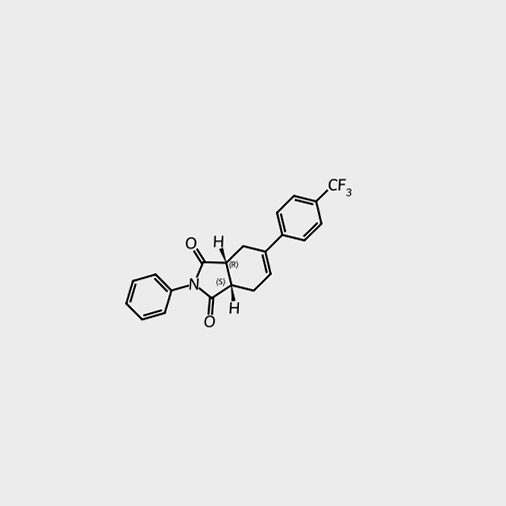 O=C1[C@H]2CC=C(c3ccc(C(F)(F)F)cc3)C[C@H]2C(=O)N1c1ccccc1